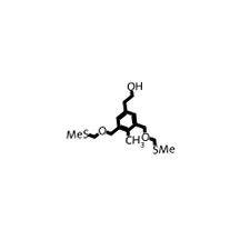 CSCOCc1cc(CCO)cc(COCSC)c1C